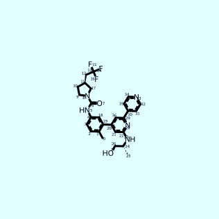 Cc1ccc(NC(=O)N2CC[C@@H](CC(F)(F)F)C2)cc1-c1cc(N[C@H](C)CO)nc(-c2ccncc2)c1